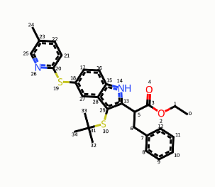 CCOC(=O)C(Cc1ccccc1)c1[nH]c2ccc(Sc3ccc(C)cn3)cc2c1SC(C)(C)C